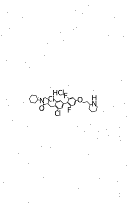 Cl.O=C1C(Cc2c(Cl)cc(-c3c(F)cc(OCCC4CCCCN4)cc3F)cc2Cl)CCN1C1CCCCC1